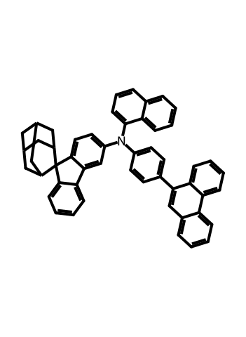 c1ccc2c(c1)-c1cc(N(c3ccc(-c4cc5ccccc5c5ccccc45)cc3)c3cccc4ccccc34)ccc1C21C2CC3CC(C2)CC1C3